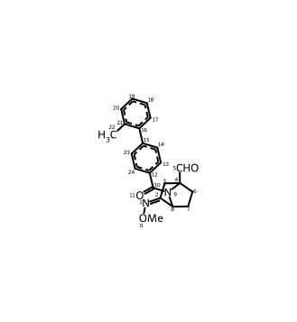 CO/N=C1/CC2(C=O)CCC1N2C(=O)c1ccc(-c2ccccc2C)cc1